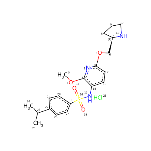 COc1nc(OC[C@H]2CCCN2)ccc1NS(=O)(=O)c1ccc(C(C)C)cc1.Cl